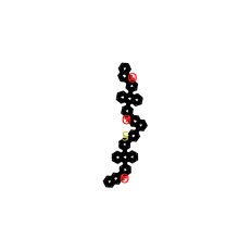 c1ccc2cc3c(cc2c1)oc1ccc(-c2c4ccccc4c(-c4ccc5sc6cc(-c7cccc8cc9c(cc78)oc7ccc(-c8c%10ccccc%10c(-c%10ccc%11oc%12c%13ccccc%13ccc%12c%11c%10)c%10ccccc8%10)cc79)ccc6c5c4)c4ccccc24)cc13